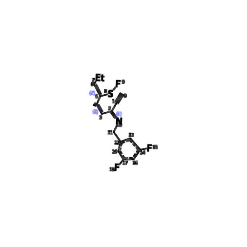 C#CC(/C=C\C(=C\CC)SF)=N/Cc1cc(F)cc(F)c1